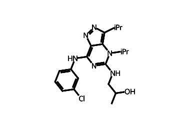 CC(O)CNc1nc(Nc2cccc(Cl)c2)c2nnc(C(C)C)c-2n1C(C)C